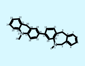 CN1Cc2ccccc2Cc2ccc(-c3ccc4c(c3)Cc3ccccc3N4C)cc21